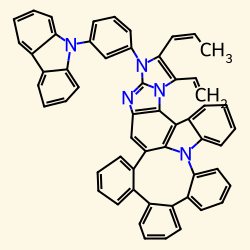 C=Cc1c(/C=C\C)n(-c2cccc(-n3c4ccccc4c4ccccc43)c2)c2nc3cc4c5ccccc5c5ccccc5c5ccccc5n5c6ccccc6c(c3n12)c45